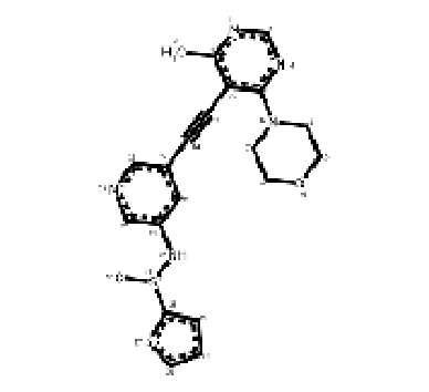 Cc1ncnc(N2CCOCC2)c1C#Cc1cncc(N[S+]([O-])c2cccs2)c1